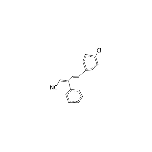 N#C/C=C(/C=C/c1ccc(Cl)cc1)c1ccccc1